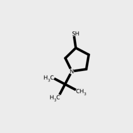 CC(C)(C)N1CCC(S)C1